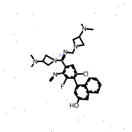 C=Nc1c(/C(=N\CN2CC(N(C)C)C2)N2CC(N(C)C)C2)cc(Cl)c(-c2cc(O)cc3ccccc23)c1F